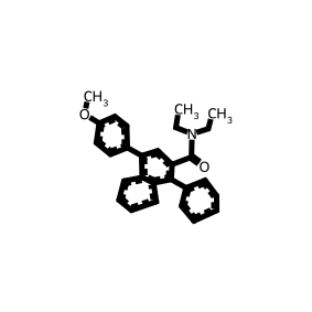 CCN(CC)C(=O)c1cc(-c2ccc(OC)cc2)c2ccccc2c1-c1ccccc1